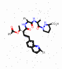 CCc1ccc2ccc(/C=C/[C@@H](C(=O)NC(C(=O)NC(C)C(=O)N3CCCC(C(=O)O)N3)C(C)C)C(C)OC(=O)C(C)C)cc2n1